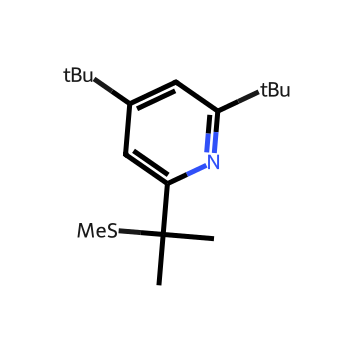 CSC(C)(C)c1cc(C(C)(C)C)cc(C(C)(C)C)n1